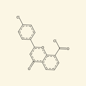 O=C(Cl)c1cccc2c(=O)cc(-c3ccc(Cl)cc3)oc12